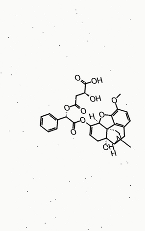 COc1ccc2c3c1O[C@@H]1C(OC(=O)[C@@H](OC(=O)C[C@H](O)C(=O)O)c4ccccc4)=CC[C@]4(O)[C@H](C2)N(C)CC[C@@]314